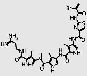 C=C(Br)C(=O)Nc1nc(C(=O)Nc2c[nH]c(C(=O)Nc3c[nH]c(C(=O)Nc4c[nH]c(C(=O)NCCC(=N)N)c4C)c3C)c2C)cs1